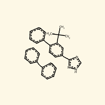 CC(C)(C)c1cc(-c2nc[nH]n2)ccc1-c1ccccc1.c1ccc(-c2ccccc2)cc1